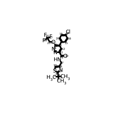 CC(C)(C)c1nc(CNC(=O)c2cc(-c3ccc(Cl)cc3)c(OCC(F)(F)F)nn2)cs1